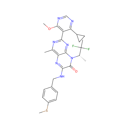 COc1ncnc(C2CC2)c1-c1nc(C)c2nc(NCc3ccc(SC)cc3)c(=O)n([C@@H](C)C(C)(F)F)c2n1